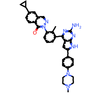 Cc1c(-c2nc(N)nc3[nH]c(-c4ccc(N5CCN(C)CC5)cc4)cc23)cccc1-n1ncc2cc(C3CC3)ccc2c1=O